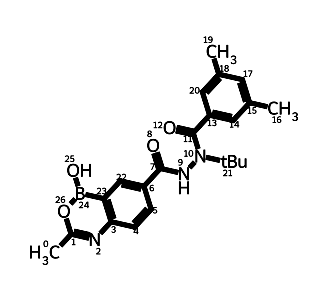 CC1=Nc2ccc(C(=O)NN(C(=O)c3cc(C)cc(C)c3)C(C)(C)C)cc2B(O)O1